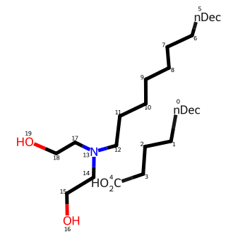 CCCCCCCCCCCCCC(=O)O.CCCCCCCCCCCCCCCCCN(CCO)CCO